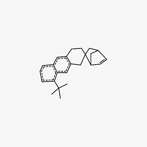 CC(C)(C)c1cccc2cc3c(cc12)CC1(CC3)CC2C=CC1C2